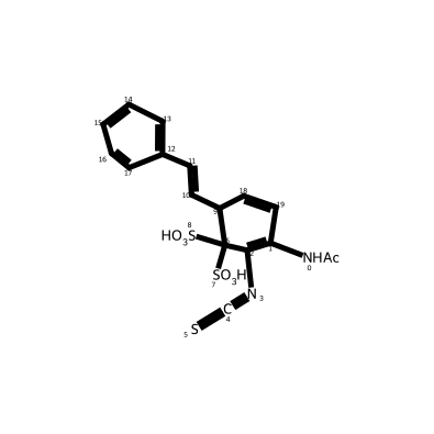 CC(=O)NC1=C(N=C=S)C(S(=O)(=O)O)(S(=O)(=O)O)C(C=Cc2ccccc2)C=C1